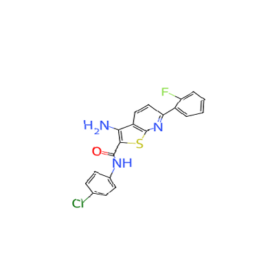 Nc1c(C(=O)Nc2ccc(Cl)cc2)sc2nc(-c3ccccc3F)ccc12